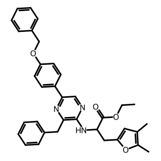 CCOC(=O)C(Cc1cc(C)c(C)o1)Nc1ncc(-c2ccc(OCc3ccccc3)cc2)nc1Cc1ccccc1